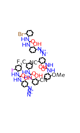 COc1ccccc1NC(=O)Nc1cccc(C#N)c1O.N#Cc1cccc(NC(=O)Nc2cccc(C(F)(F)F)c2)c1O.[N-]=[N+]=Nc1ccc(NC(=O)Nc2ccccc2I)c(O)c1.[N-]=[N+]=Nc1cccc(NC(=O)Nc2ccccc2Br)c1O